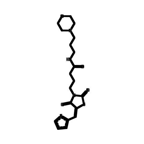 O=C(CCCN1C(=O)S/C(=C/c2cccs2)C1=O)NCCCN1CCOCC1